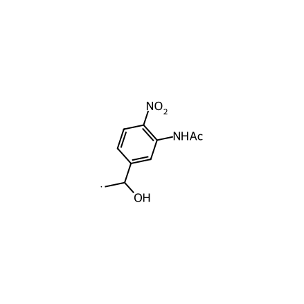 [CH2]C(O)c1ccc([N+](=O)[O-])c(NC(C)=O)c1